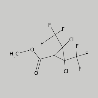 COC(=O)C1C(Cl)(C(F)(F)F)C1(Cl)C(F)(F)F